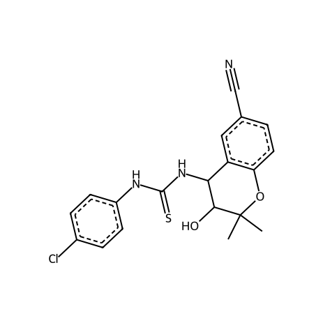 CC1(C)Oc2ccc(C#N)cc2C(NC(=S)Nc2ccc(Cl)cc2)C1O